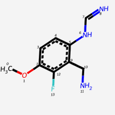 COc1ccc(NC=N)c(CN)c1F